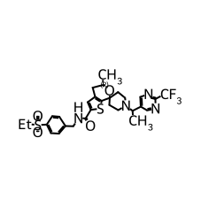 CCS(=O)(=O)c1ccc(CNC(=O)c2cc3c(s2)C2(CCN(C(C)c4cnc(C(F)(F)F)nc4)CC2)O[C@H](C)C3)cc1